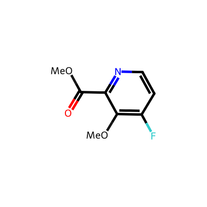 COC(=O)c1nccc(F)c1OC